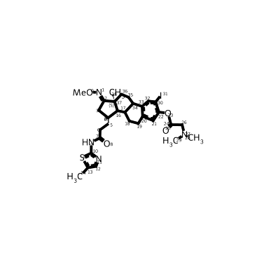 CON=C1C[C@@H](CCC(=O)Nc2ncc(C)s2)C2C3CCc4cc(OC(=O)CN(C)C)c(I)cc4C3CC[C@]12C